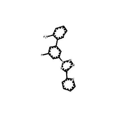 Nc1ccccc1-c1cc(F)cc(-n2nnc(-c3ccccn3)n2)c1